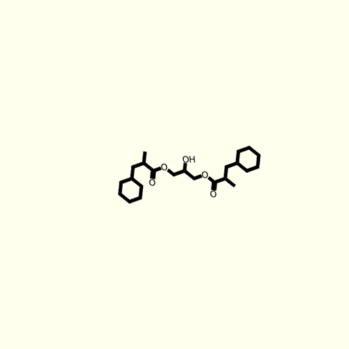 CC(CC1CCCCC1)C(=O)OCC(O)COC(=O)C(C)CC1CCCCC1